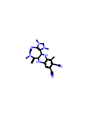 C=C1C2Nc3cc(C#N)c(C#N)c(C)c3NC2C2=C(/N=C\N1C)N(C)CN2C